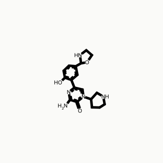 Nc1nc(-c2cc(C3NCCO3)ccc2O)cn(C2CCCNC2)c1=O